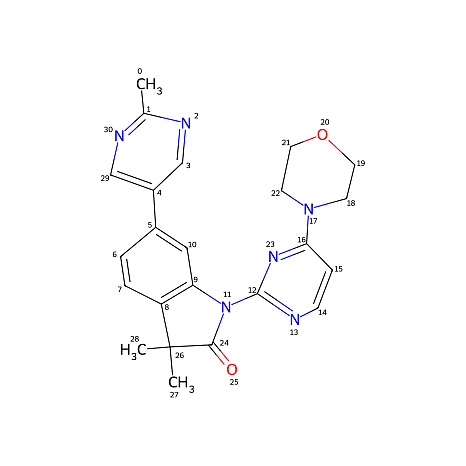 Cc1ncc(-c2ccc3c(c2)N(c2nccc(N4CCOCC4)n2)C(=O)C3(C)C)cn1